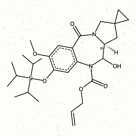 C=CCOC(=O)N1c2cc(O[Si](C(C)C)(C(C)C)C(C)C)c(OC)cc2C(=O)N2CC3(CC3)C[C@H]2C1O